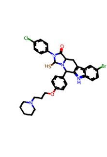 O=C1C2Cc3c([nH]c4ccc(Br)cc34)C(c3ccc(OCCCN4CCCCC4)cc3)N2C(S)N1c1ccc(Cl)cc1